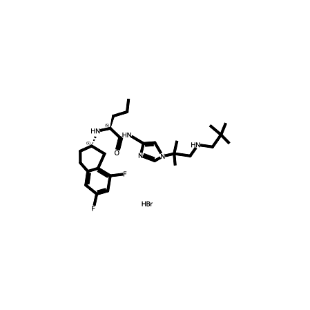 Br.CCC[C@H](N[C@H]1CCc2cc(F)cc(F)c2C1)C(=O)Nc1cn(C(C)(C)CNCC(C)(C)C)cn1